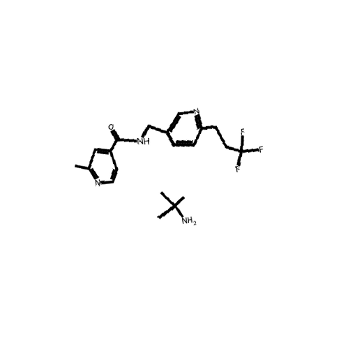 CC(C)(C)N.Cc1cc(C(=O)NCc2ccc(CCC(F)(F)F)nc2)ccn1